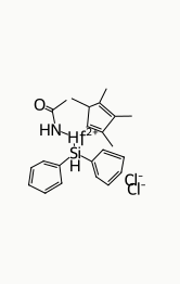 CC(=O)[NH][Hf+2]([C]1=C(C)C(C)=C(C)C1C)[SiH](c1ccccc1)c1ccccc1.[Cl-].[Cl-]